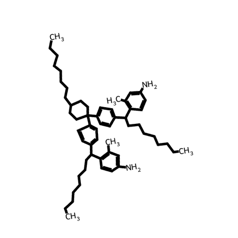 CCCCCCCCC1CCC(c2ccc(C(CCCCCCCC)c3ccc(N)cc3C)cc2)(c2ccc(C(CCCCCCCC)c3ccc(N)cc3C)cc2)CC1